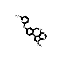 Cc1cccc(Oc2ccc3c(c2)CNc2ncnc4c2c-3cn4C)n1